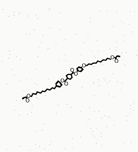 C=CC(=O)OCCCCCCCCCCCOc1ccc(OC(=O)C2CCC(C(=O)Oc3ccc(CCCCCCCCCCCOC(=O)C=C)cc3)CC2)cc1